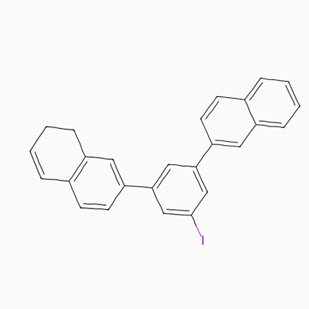 Ic1cc(-c2ccc3c(c2)CCC=C3)cc(-c2ccc3ccccc3c2)c1